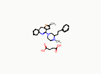 Cc1cc2c(s1)Cc1ccccc1N=C2N1CCN(C)C(CCc2ccccc2)C1.O=C(O)CCC(=O)O